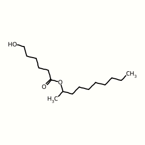 CCCCCCCCC(C)OC(=O)CCCCCO